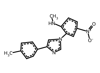 CNc1ccc([N+](=O)[O-])cc1-n1cnc(-c2ccc(C)cc2)c1